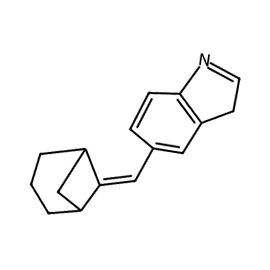 C1=Nc2ccc(C=C3C4CCCC3C4)cc2C1